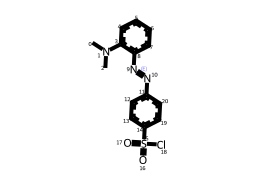 CN(C)c1ccccc1/N=N/c1ccc(S(=O)(=O)Cl)cc1